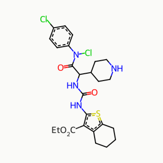 CCOC(=O)c1c(NC(=O)NC(C(=O)N(Cl)c2ccc(Cl)cc2)C2CCNCC2)sc2c1CCCC2